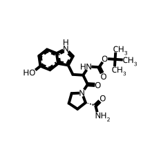 CC(C)(C)OC(=O)NC(Cc1c[nH]c2ccc(O)cc12)C(=O)N1CCC[C@H]1C(N)=O